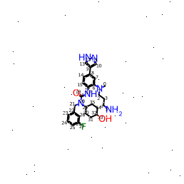 CN(CCCN)c1cc(-c2cn[nH]c2)ccc1NC(=O)N(Cc1cccc(F)c1)C1CCC(O)CC1